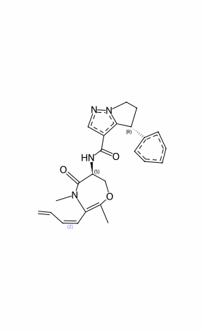 C=C/C=C\C1=C(C)OC[C@H](NC(=O)c2cnn3c2[C@@H](c2ccccc2)CC3)C(=O)N1C